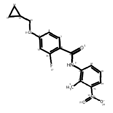 Cc1c(NC(=O)c2ccc(OCC3CC3)cc2F)cccc1[N+](=O)[O-]